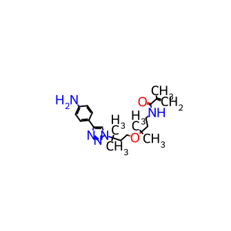 C=C(C)C(=O)NCCC(C)(C)OCCC(C)(C)n1cc(-c2ccc(N)cc2)nn1